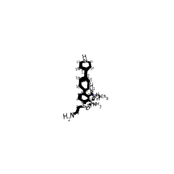 NCC[S+]([O-])c1ccc(-c2ccc(C3CCNCC3)cc2)c(/C(N)=N/NN)c1S(N)(=O)=O